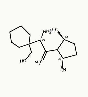 C=C(C1[C@H](C#N)CC[C@@H]1C)[C@@H](N)C1(CO)CCCCC1